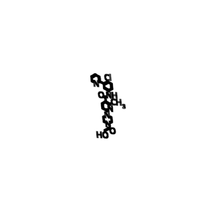 Cc1nc(N2CCN(C(=O)CO)CC2)ccc1C(=O)Nc1ccc(Cl)c(-c2ccccn2)c1